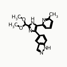 COC(OC)c1nc(-c2ccc3[nH]ncc3c2)c(-c2cccc(C)n2)[nH]1